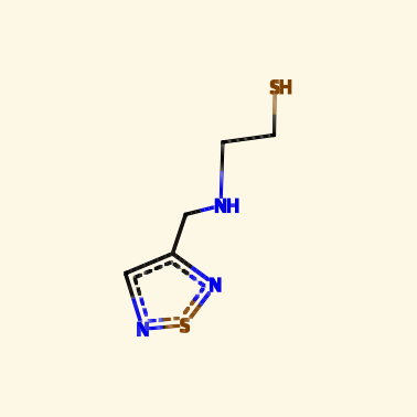 SCCNCc1cnsn1